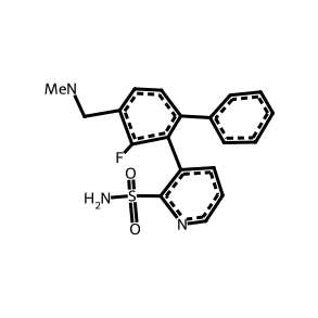 CNCc1ccc(-c2ccccc2)c(-c2cccnc2S(N)(=O)=O)c1F